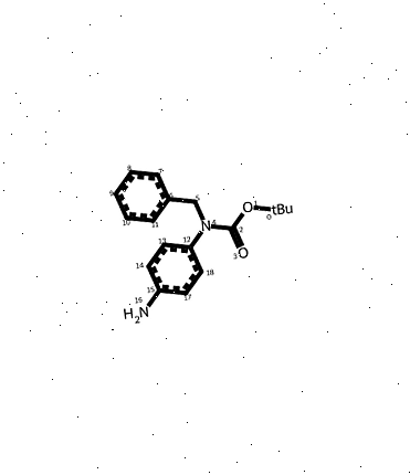 CC(C)(C)OC(=O)N(Cc1ccccc1)c1ccc(N)cc1